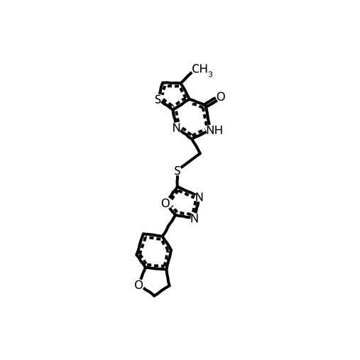 Cc1csc2nc(CSc3nnc(-c4ccc5c(c4)CCO5)o3)[nH]c(=O)c12